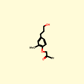 COc1cc(CCCO)ccc1OCC(=O)C(C)C